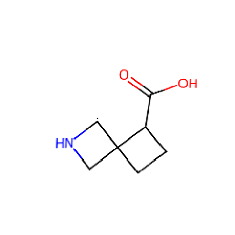 O=C(O)C1CCC12[CH]NC2